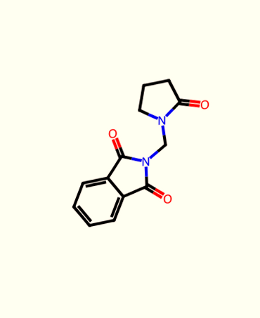 O=C1CCCN1CN1C(=O)c2ccccc2C1=O